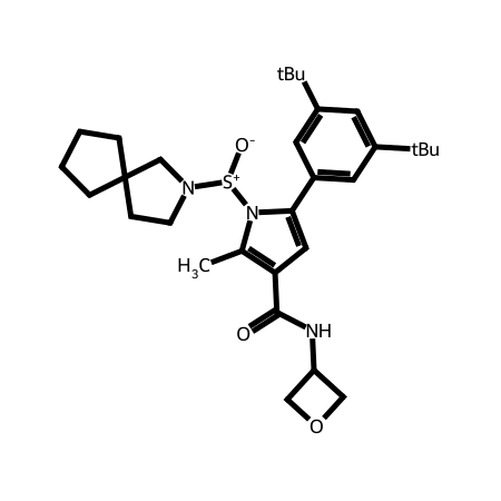 Cc1c(C(=O)NC2COC2)cc(-c2cc(C(C)(C)C)cc(C(C)(C)C)c2)n1[S+]([O-])N1CCC2(CCCC2)C1